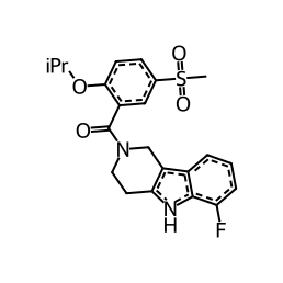 CC(C)Oc1ccc(S(C)(=O)=O)cc1C(=O)N1CCc2[nH]c3c(F)cccc3c2C1